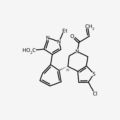 C=CC(=O)N1Cc2sc(Cl)cc2[C@H](c2ccccc2-c2cn(CC)nc2C(=O)O)C1